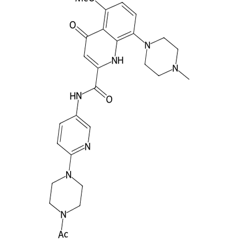 COc1ccc(N2CCN(C)CC2)c2[nH]c(C(=O)Nc3ccc(N4CCN(C(C)=O)CC4)nc3)cc(=O)c12